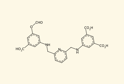 O=COc1cc(NCc2cccc(CNc3cc(C(=O)O)cc(C(=O)O)c3)n2)cc(C(=O)O)c1